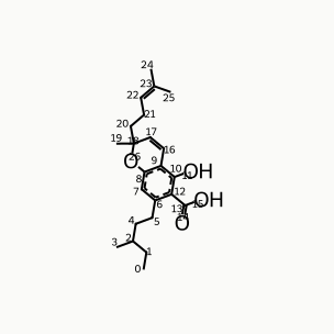 CCC(C)CCc1cc2c(c(O)c1C(=O)O)C=CC(C)(CCC=C(C)C)O2